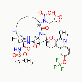 Cc1nc2ccc(OC(F)(F)F)cc2c2c1O[C@]1(CC2)C[C@H]2C(=O)N[C@]3(C(=O)NS(=O)(=O)C4(C)CC4)C[C@H]3/C=C\CCCCC[C@H](N(CC3COC3)C(=O)O)C(=O)N2C1